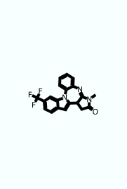 CN1C(=O)CC2C1=Nc1ccccc1-n1c2cc2ccc(C(F)(F)F)cc21